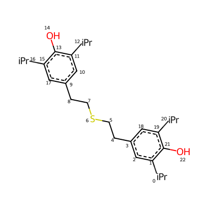 CC(C)c1cc(CCSCCc2cc(C(C)C)c(O)c(C(C)C)c2)cc(C(C)C)c1O